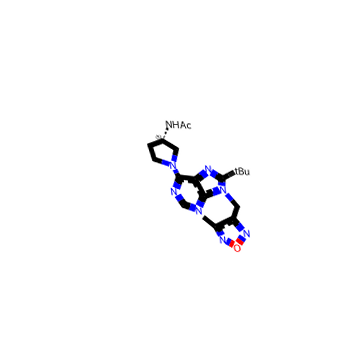 CC(=O)N[C@H]1CCN(c2ncnc3c2nc(C(C)(C)C)n3Cc2nonc2C)C1